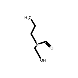 CCCN(C=O)CO